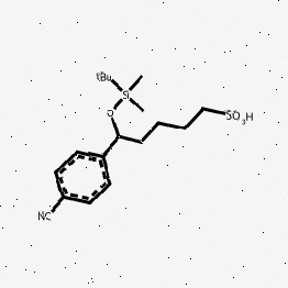 CC(C)(C)[Si](C)(C)OC(CCCCS(=O)(=O)O)c1ccc(C#N)cc1